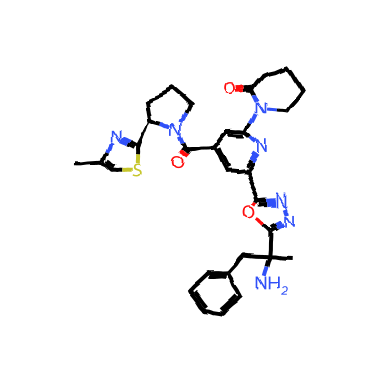 Cc1csc([C@H]2CCCN2C(=O)c2cc(-c3nnc(C(C)(N)Cc4ccccc4)o3)nc(N3CCCCC3=O)c2)n1